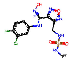 CC(C)NS(=O)(=O)NCc1nonc1/C(=N\O)Nc1ccc(F)c(Cl)c1